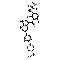 CCN(C)S(=O)(=O)Nc1ccc(F)c(C(=O)c2c[nH]c3ncc(-c4cnc(N5CCC(N(C)C(C)=O)CC5)nc4)cc23)c1F